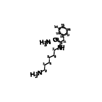 N.NCCCCCCNC(=O)Cc1ccccc1